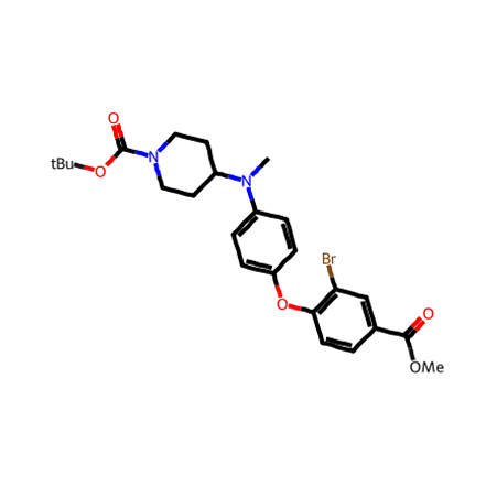 COC(=O)c1ccc(Oc2ccc(N(C)C3CCN(C(=O)OC(C)(C)C)CC3)cc2)c(Br)c1